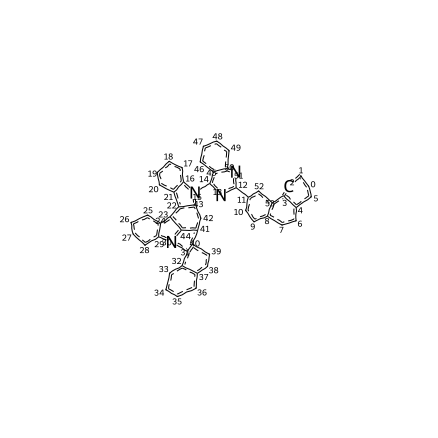 c1ccc2c(c1)ccc1ccc(-c3nc(-n4c5ccccc5c5c6c7ccccc7n7c8c9ccccc9ccc8c(cc54)c67)c4ccccc4n3)cc12